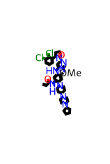 C=CC(=O)Nc1cc(Nc2cc(N3OCCC3c3cccc(Cl)c3Cl)ncn2)c(OC)cc1N1CCC(N2CCN(C3CCCC3)CC2)CC1